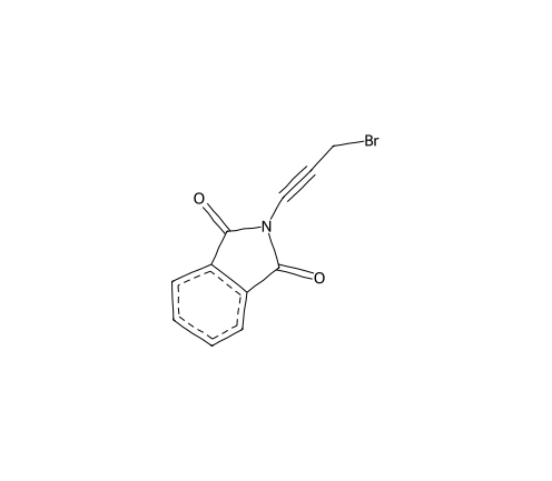 O=C1c2ccccc2C(=O)N1C#CCBr